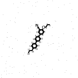 CCCOc1ccc(-c2ccc(-c3ccc(CCC)cc3)cc2)cc1C#N